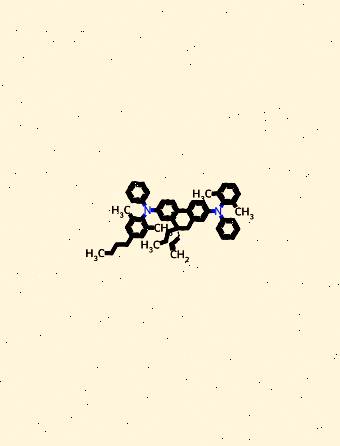 C=CC[C@@]1(CCC)Cc2cc(N(c3ccccc3)c3c(C)cccc3C)ccc2-c2ccc(N(c3ccccc3)c3c(C)cc(CCCC)cc3C)cc21